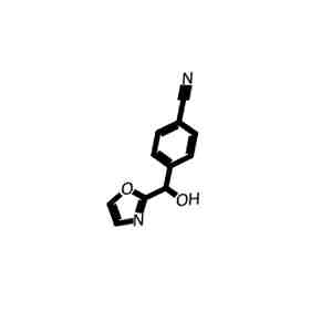 N#Cc1ccc(C(O)c2ncco2)cc1